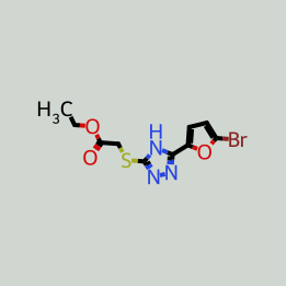 CCOC(=O)CSc1nnc(-c2ccc(Br)o2)[nH]1